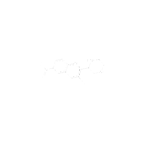 O=[N+]([O-])c1ccc2nc(C3CNCCN3)c(Br)cc2c1